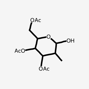 CC(=O)OCC1OC(O)C(C)C(OC(C)=O)C1OC(C)=O